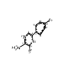 Nc1ncc(-c2ccc(F)cc2)nc1Br